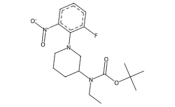 CCN(C(=O)OC(C)(C)C)C1CCCN(c2c(F)cccc2[N+](=O)[O-])C1